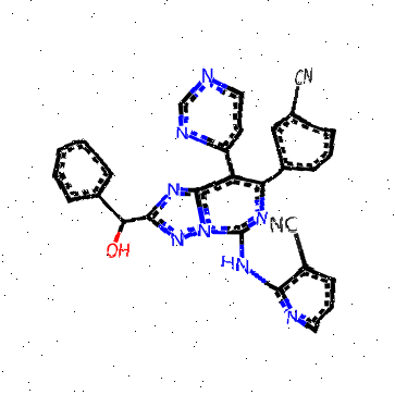 N#Cc1cccc(-c2nc(Nc3ncccc3C#N)n3nc(C(O)c4ccccc4)nc3c2-c2ccncn2)c1